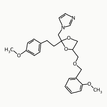 COc1ccc(CCC2(Cn3ccnc3)OCC(COCc3ccccc3OC)O2)cc1